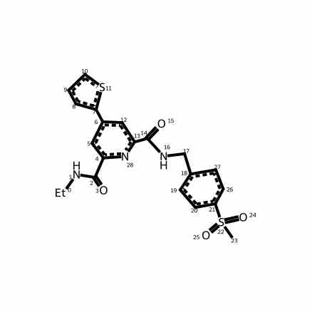 CCNC(=O)c1cc(-c2cccs2)cc(C(=O)NCc2ccc(S(C)(=O)=O)cc2)n1